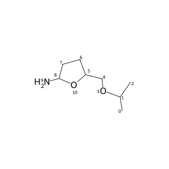 CC(C)OCC1CCC(N)O1